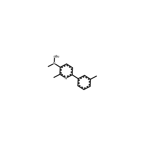 CCCCN(C)c1ccc(-c2cccc(C)c2)nc1C